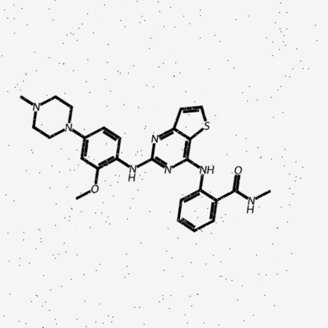 CNC(=O)c1ccccc1Nc1nc(Nc2ccc(N3CCN(C)CC3)cc2OC)nc2ccsc12